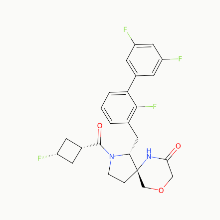 O=C1COC[C@]2(CCN(C(=O)[C@H]3C[C@@H](F)C3)[C@@H]2Cc2cccc(-c3cc(F)cc(F)c3)c2F)N1